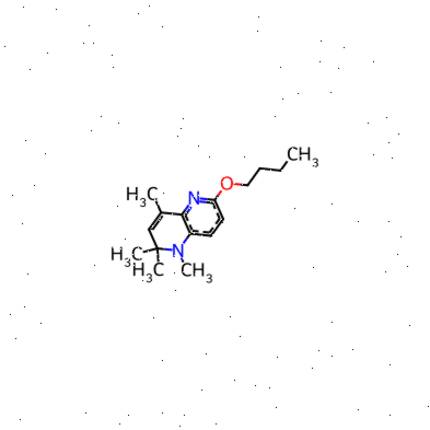 CCCCOc1ccc2c(n1)C(C)=CC(C)(C)N2C